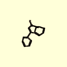 Fn1cc(-c2ccccc2)c2ccccc21